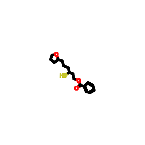 O=C(OCCC(S)CCCC1CCCO1)c1ccccc1